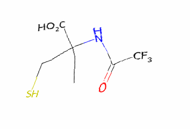 CC(CS)(NC(=O)C(F)(F)F)C(=O)O